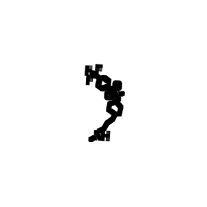 CNCCCCC1CCC(N(C)S(=O)(=O)c2ccc(C(F)(F)F)cc2)CC1